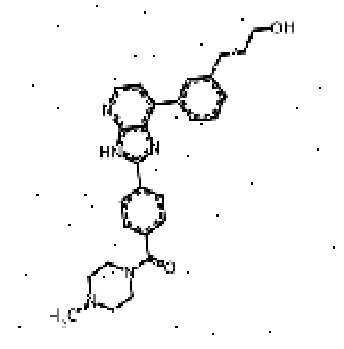 CN1CCN(C(=O)c2ccc(-c3nc4c(-c5cccc(CCCO)c5)ccnc4[nH]3)cc2)CC1